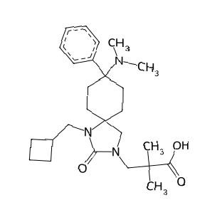 CN(C)C1(c2ccccc2)CCC2(CC1)CN(CC(C)(C)C(=O)O)C(=O)N2CC1CCC1